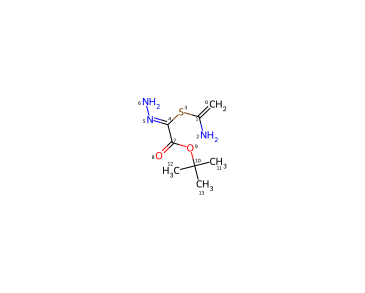 C=C(N)S/C(=N\N)C(=O)OC(C)(C)C